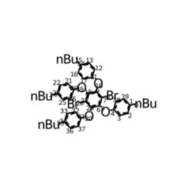 CCCCc1ccc(Oc2c(Br)c(Oc3ccc(CCCC)cc3)c(Oc3ccc(CCCC)cc3)c(Br)c2Oc2ccc(CCCC)cc2)cc1